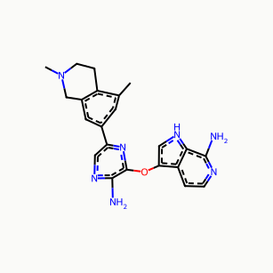 Cc1cc(-c2cnc(N)c(Oc3c[nH]c4c(N)nccc34)n2)cc2c1CCN(C)C2